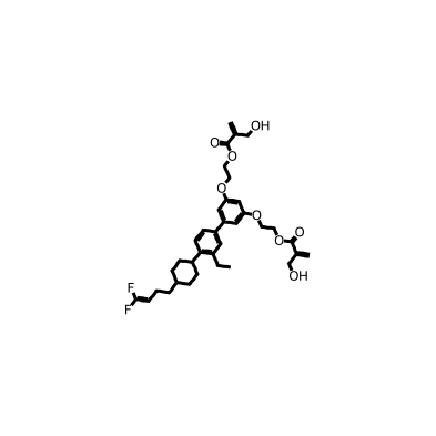 C=C(CO)C(=O)OCCOc1cc(OCCOC(=O)C(=C)CO)cc(-c2ccc(C3CCC(CCC=C(F)F)CC3)c(CC)c2)c1